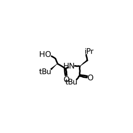 CC(C)C[C@H](NC(=O)[C@H](CO)C(C)(C)C)C(=O)C(C)(C)C